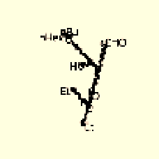 CC/C=C\CCCCOC(CCC(=O)OCCCCCCCN(CCCCCCCOC=O)CCN(CCO)CCCCCCCCCOC(=O)C(CCCC)CCCCCC)OCCCC/C=C\CC